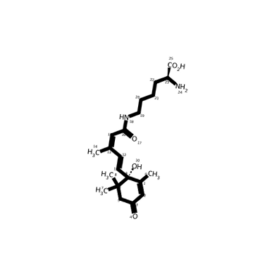 CC1=CC(=O)CC(C)(C)[C@@]1(O)/C=C/C(C)=C\C(=O)NCCCC[C@H](N)C(=O)O